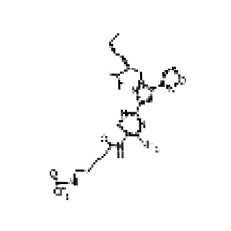 C/C=C\C=C(\Cn1nc(-c2ncc(NC(=O)CCCCNC(=O)C(F)(F)F)c(N)n2)cc1-c1ccon1)C(C)F